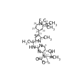 Cc1nc([C@H](C)Nc2nccc(N3C(=O)OCC3[C@@H](C)O)n2)sc1-c1ccnc(C(C)(C)C(F)(F)F)c1